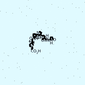 COc1nc(-c2ccnc(-c3cccc(NC(=O)c4nc5c(n4C)CCN(CCC(=O)O)C5)c3Cl)c2Cl)ccc1CNC[C@@H]1CCC(=O)N1